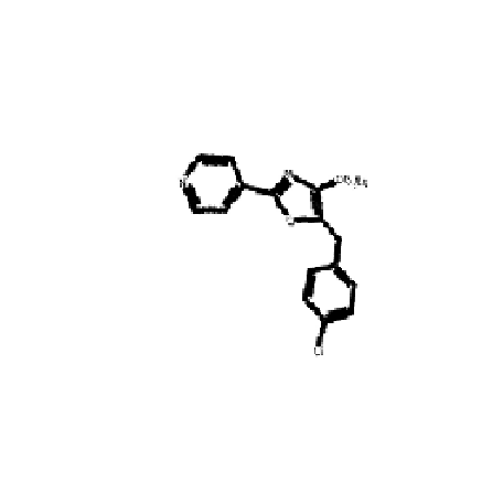 CCOC(=O)c1nc(-c2ccncc2)oc1Cc1ccc(Cl)cc1